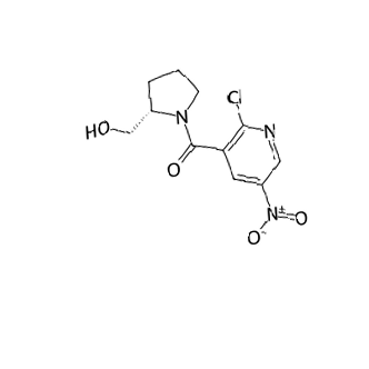 O=C(c1cc([N+](=O)[O-])cnc1Cl)N1CCC[C@H]1CO